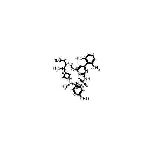 Cc1cccc(C)c1-c1cc(OC[C@@H](CC(C)(C)C)N(C)C2C[SH](N(C)C)C2)nc(NS(=O)(=O)c2cccc(C=O)c2)n1